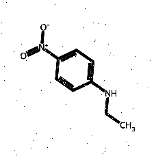 CCNc1ccc([N+](=O)[O-])cc1